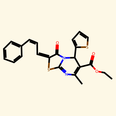 CCOC(=O)C1=C(C)N=c2s/c(=C/C=C\c3ccccc3)c(=O)n2C1c1cccs1